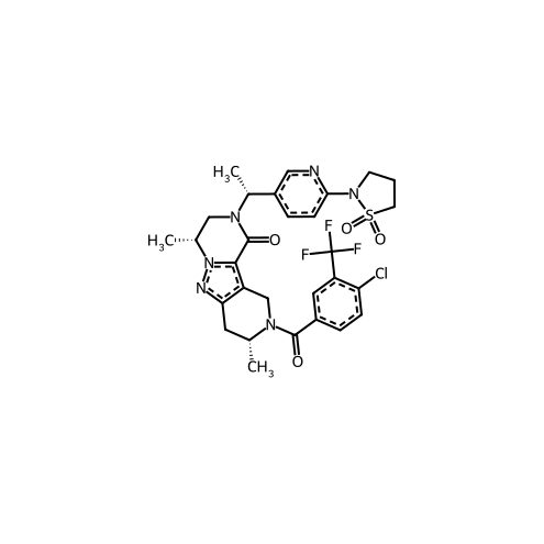 C[C@@H]1Cc2nn3c(c2CN1C(=O)c1ccc(Cl)c(C(F)(F)F)c1)C(=O)N([C@H](C)c1ccc(N2CCCS2(=O)=O)nc1)C[C@H]3C